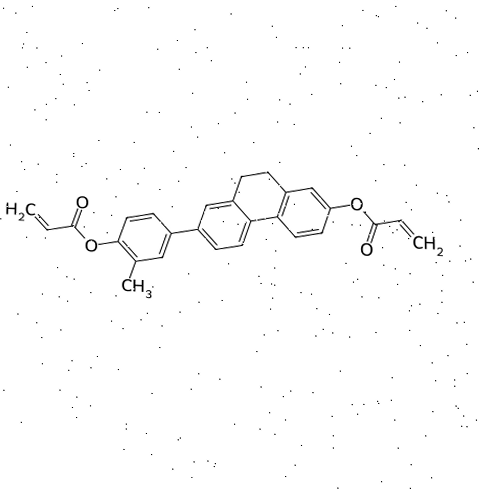 C=CC(=O)Oc1ccc2c(c1)CCc1cc(-c3ccc(OC(=O)C=C)c(C)c3)ccc1-2